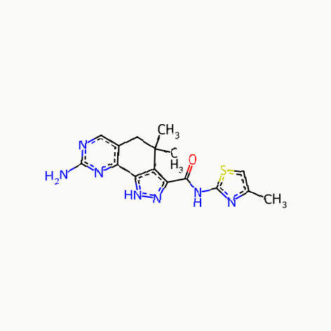 Cc1csc(NC(=O)c2n[nH]c3c2C(C)(C)Cc2cnc(N)nc2-3)n1